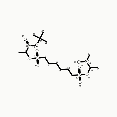 CC(OS(=O)(=O)CCCCCCS(=O)(=O)OC(C)[S+](C)[O-])S(=O)OC(C)(C)C